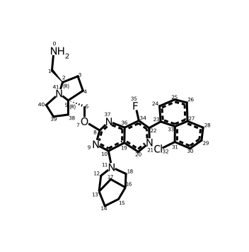 NC[C@H]1CC[C@@]2(COc3nc(N4CC5CCC(C5)C4)c4cnc(-c5cccc6cccc(Cl)c56)c(F)c4n3)CCCN12